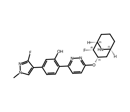 Cn1cc(-c2ccc(-c3ccc(O[C@H]4C[C@@H]5CCC[C@@H](N5)[C@H]4F)nn3)c(O)c2)c(F)n1